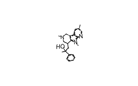 Cc1cnc2c(c1)c1c(n2C)C(CC(C)(O)c2ccccc2)CN(C)C1